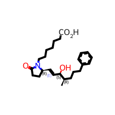 C[C@H](CCCc1ccccc1)[C@H](O)/C=C/[C@H]1CCC(=O)N1CCCCCCC(=O)O